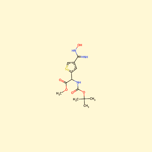 COC(=O)C(NC(=O)OC(C)(C)C)c1cc(C(=N)NO)cs1